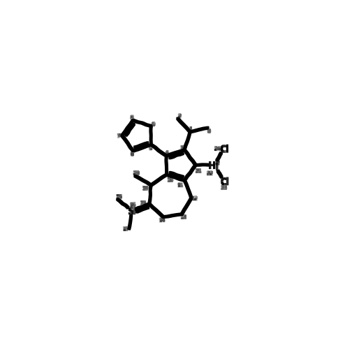 CC(C)C1=C(C2=CC=CC2)C2=C(CCCC(=[Si](C)C)C2C)[CH]1[Hf]([Cl])[Cl]